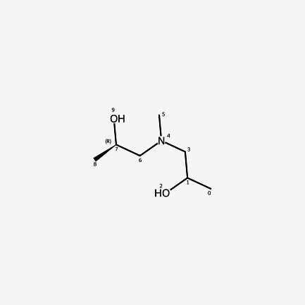 CC(O)CN(C)C[C@@H](C)O